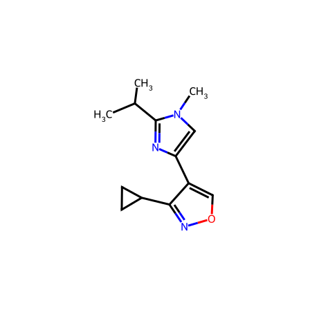 CC(C)c1nc(-c2conc2C2CC2)cn1C